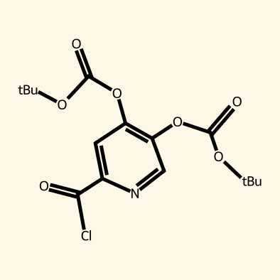 CC(C)(C)OC(=O)Oc1cnc(C(=O)Cl)cc1OC(=O)OC(C)(C)C